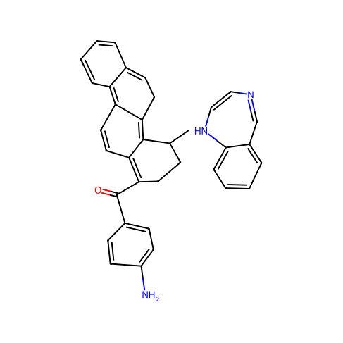 C1=CNc2ccccc2C=N1.CC1CCC(C(=O)c2ccc(N)cc2)=c2ccc3c(c21)CC=c1ccccc1=3